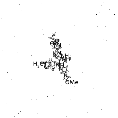 COC1CN(c2ccc(C3=CNC(N)(c4ccnc(-c5cnn(S(=O)(=O)C6CC6)c5)n4)C=C3NC3CCC(CN(C)C)CC3)nc2)C1